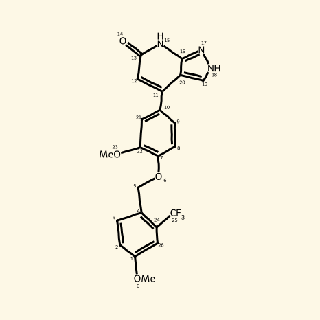 COc1ccc(COc2ccc(-c3cc(=O)[nH]c4n[nH]cc34)cc2OC)c(C(F)(F)F)c1